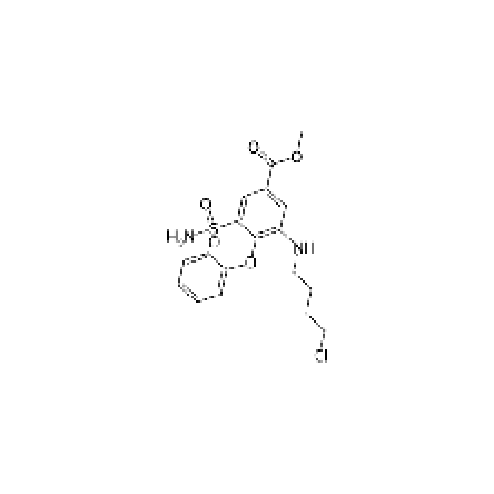 COC(=O)c1cc(NCCCCCl)c(Oc2ccccc2)c(S(N)(=O)=O)c1